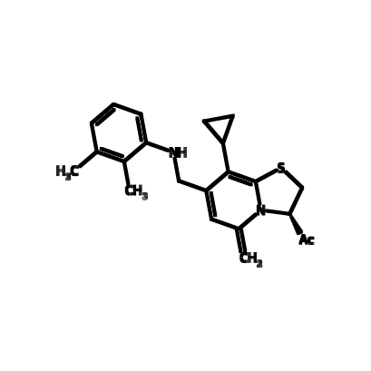 C=C1C=C(CNc2cccc(C)c2C)C(C2CC2)=C2SC[C@@H](C(C)=O)N12